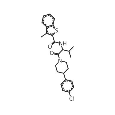 Cc1c(C(=O)NC(C(=O)N2CCC(c3ccc(Cl)cc3)CC2)C(C)C)sc2ccccc12